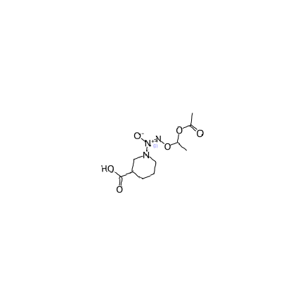 CC(=O)OC(C)O/N=[N+](/[O-])N1CCCC(C(=O)O)C1